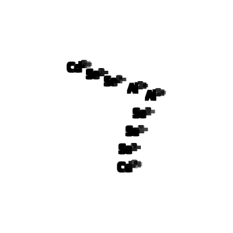 [Al+3].[Al+3].[Cd+2].[Cd+2].[Se-2].[Se-2].[Se-2].[Se-2].[Se-2]